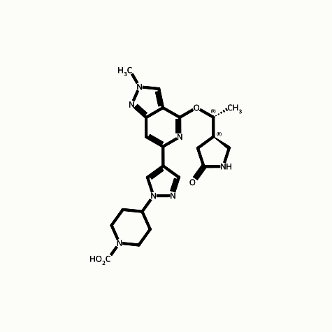 C[C@@H](Oc1nc(-c2cnn(C3CCN(C(=O)O)CC3)c2)cc2nn(C)cc12)[C@H]1CNC(=O)C1